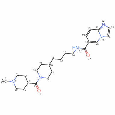 CC(=O)N1CCC(C(=O)N2CCC(CCCCNC(=O)c3ccc4nccn4c3)CC2)CC1